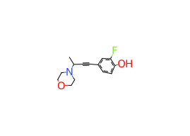 CC(C#Cc1ccc(O)c(F)c1)N1CCOCC1